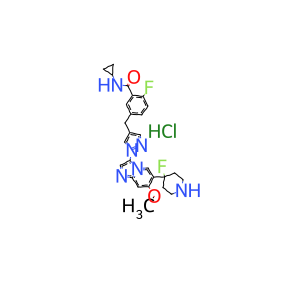 COc1cc2ncc(-n3cc(Cc4ccc(F)c(C(=O)NC5CC5)c4)cn3)n2cc1C1(F)CCNCC1.Cl